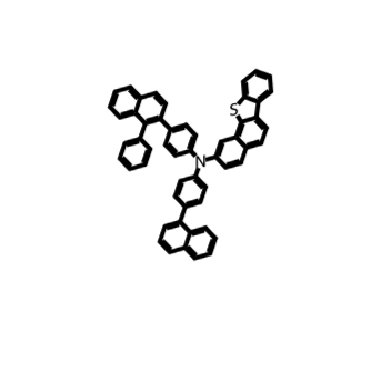 c1ccc(-c2c(-c3ccc(N(c4ccc(-c5cccc6ccccc56)cc4)c4ccc5ccc6c7ccccc7sc6c5c4)cc3)ccc3ccccc23)cc1